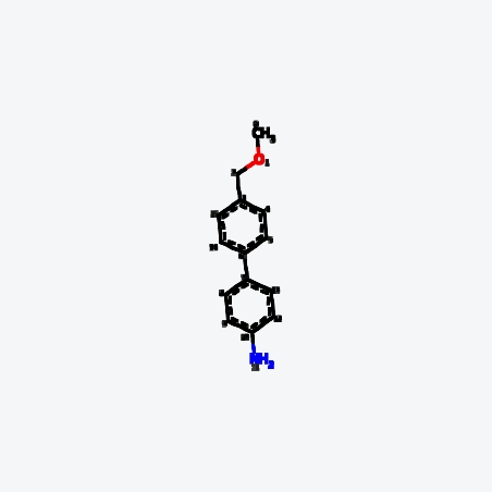 COCc1ccc(-c2ccc(N)cc2)cc1